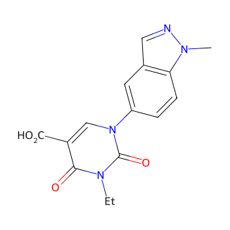 CCn1c(=O)c(C(=O)O)cn(-c2ccc3c(cnn3C)c2)c1=O